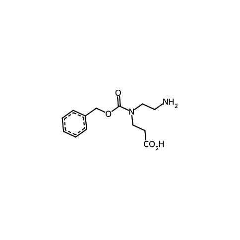 NCCN(CCC(=O)O)C(=O)OCc1ccccc1